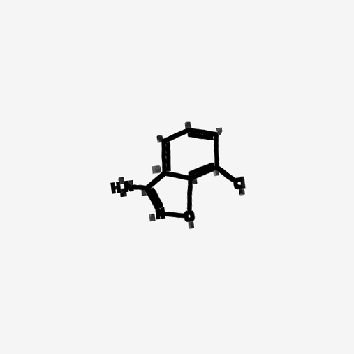 Nc1noc2c(Cl)cccc12